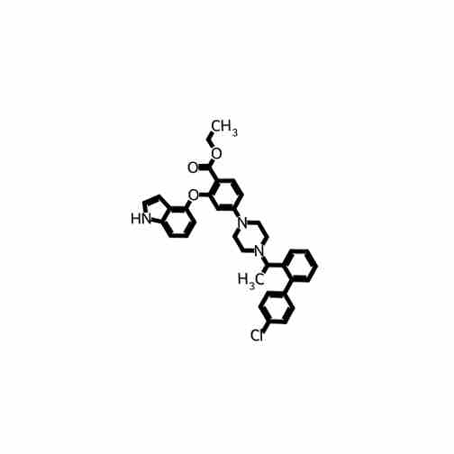 CCOC(=O)c1ccc(N2CCN(C(C)c3ccccc3-c3ccc(Cl)cc3)CC2)cc1Oc1cccc2[nH]ccc12